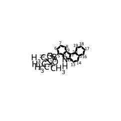 CC1(C)OB(c2cccc3c2[nH]c2ccc4ccccc4c23)OC1(C)C